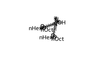 CCCCCCCCC(CCCCCC)C(=O)OCCCCCCCCCN(CCCCCCCCCOC(=O)C(CCCCCC)CCCCCCCC)CCN(CCO)C1CCC1